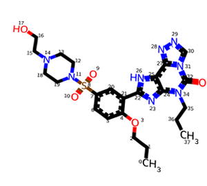 CCCOc1ccc(S(=O)(=O)N2CCN(CCO)CC2)cc1-c1nc2c([nH]1)c1nncn1c(=O)n2CCC